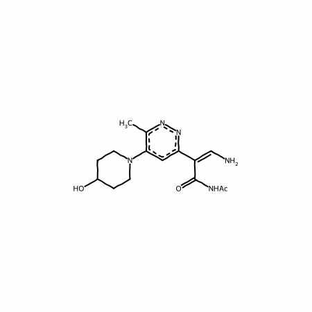 CC(=O)NC(=O)/C(=C\N)c1cc(N2CCC(O)CC2)c(C)nn1